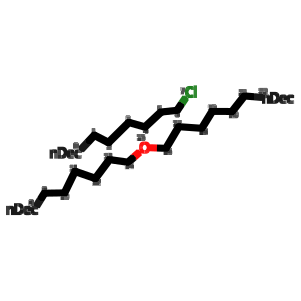 CCCCCCCCCCCCCCCCCl.CCCCCCCCCCCCCCCCOCCCCCCCCCCCCCCCC